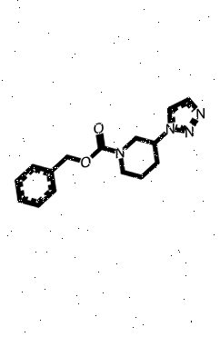 O=C(OCc1ccccc1)N1CCCC(n2ccnn2)C1